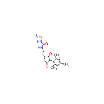 CONC(=O)NCCC1CC(=O)C(c2c(C)cc(C)cc2C)C1=O